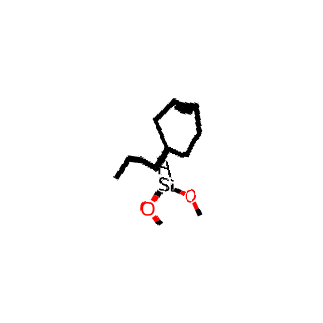 CCC(C1CC=CCC1)[SiH](OC)OC